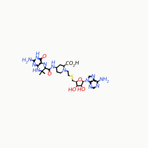 CC1(C)Nc2nc(N)[nH]c(=O)c2N=C1C(=O)NC1CCN(CCSC[C@H]2O[C@@H](n3cnc4c(N)ncnc43)C(O)C2O)C(C(=O)O)C1